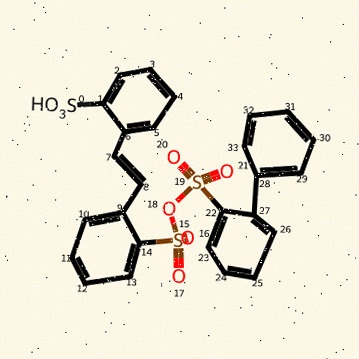 O=S(=O)(O)c1ccccc1C=Cc1ccccc1S(=O)(=O)OS(=O)(=O)c1ccccc1-c1ccccc1